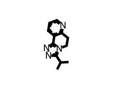 CC(C)c1nnc2n1CCc1ncccc1-2